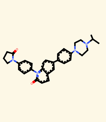 CC(C)N1CCN(c2ccc(-c3ccc4c(ccc(=O)n4-c4ccc(N5CCCC5=O)cc4)c3)cc2)CC1